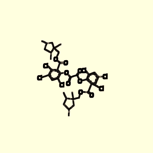 CC1CC(C)C(C)(COC(=O)c2c(Cl)c(Cl)cc(Cl)c2OC(=O)C(=O)Oc2c(Cl)cc(Cl)c(Cl)c2C(=O)OCC2(C)CC(C)CC2C)C1